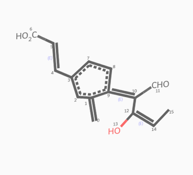 C=c1cc(/C=C/C(=O)O)cc/c1=C(C=O)/C(O)=C\C